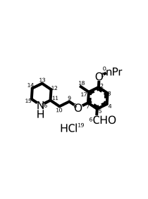 CCCOc1ccc(C=O)c(OCCC2CCCCN2)c1C.Cl